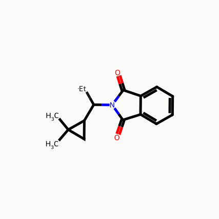 C[CH]C(C1CC1(C)C)N1C(=O)c2ccccc2C1=O